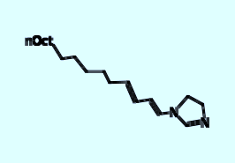 CCCCCCCCCCCCCC=CC=CN1C=NCC1